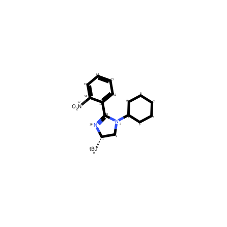 CC(C)(C)[C@H]1CN(C2CCCCC2)C(c2ccccc2[N+](=O)[O-])=N1